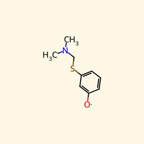 CN(C)CSc1cccc([O])c1